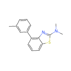 Cc1cccc(-c2cccc3sc(N(C)C)nc23)c1